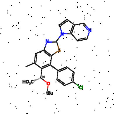 Cc1cc2nc(-n3ccc4cnccc43)sc2c(-c2ccc(Cl)cc2)c1[C@H](OC(C)(C)C)C(=O)O